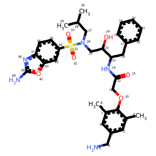 Cc1cc(CN)cc(C)c1OCC(=O)NC(Cc1ccccc1)C(O)CN(CC(C)C)S(=O)(=O)c1ccc2nc(N)oc2c1